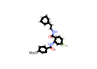 COc1ccc(C(=O)Nc2cc(F)ccc2C(=O)NCCc2ccccc2)cc1